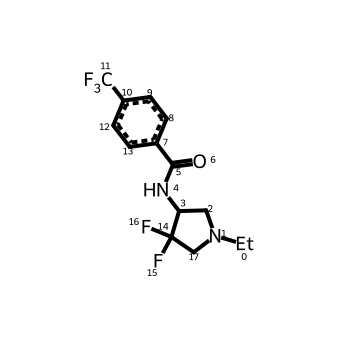 CCN1CC(NC(=O)c2ccc(C(F)(F)F)cc2)C(F)(F)C1